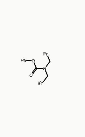 CC(C)CN(CC(C)C)C(=O)OS